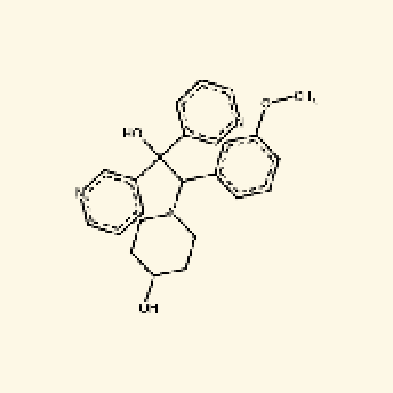 COc1cccc(C(N2CCC(O)CC2)C(O)(c2cccnc2)c2cccnc2)c1